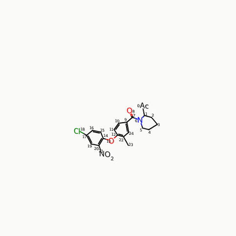 CC(=O)C1CCCCN1C(=O)c1ccc(Oc2ccc(Cl)cc2[N+](=O)[O-])c(C)c1